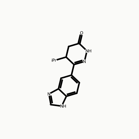 CC(C)C1CC(=O)NN=C1c1ccc2[nH][c]nc2c1